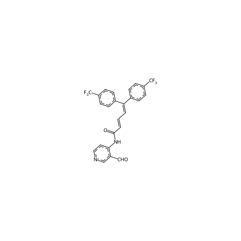 O=Cc1cnccc1NC(=O)/C=C/C=C(c1ccc(C(F)(F)F)cc1)c1ccc(C(F)(F)F)cc1